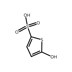 O=S(=O)(O)c1ccc(O)s1